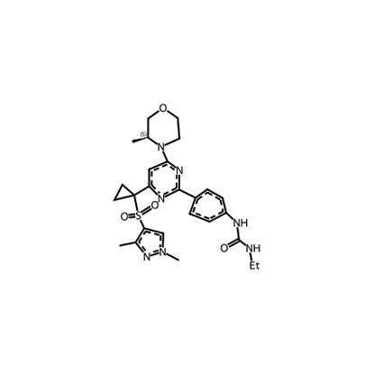 CCNC(=O)Nc1ccc(-c2nc(N3CCOC[C@@H]3C)cc(C3(S(=O)(=O)c4cn(C)nc4C)CC3)n2)cc1